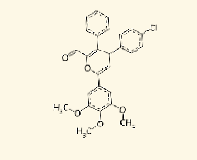 COc1cc(C2=CC(c3ccc(Cl)cc3)C(c3ccccc3)=C(C=O)O2)cc(OC)c1OC